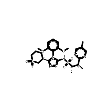 COc1cccc(OC)c1-n1c(NS(=O)(=O)[C@@H](C)[C@H](C)c2ncc(C)cn2)nnc1[C@@H]1CCCS(=O)(=O)C1